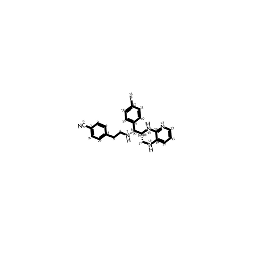 N#Cc1ccc(CCN[C@H](c2ccc(F)cc2)[C@H]2CNc3cccnc3N2)cc1